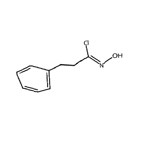 ON=C(Cl)CCc1ccccc1